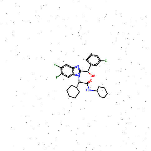 O=C(NC1CCCCC1)C(C1CCCCC1)n1c([C@H](O)c2cccc(Cl)c2)nc2cc(F)c(F)cc21